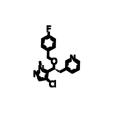 Cn1ncc(Cl)c1[C@@H](Cc1cccnc1)OCc1ccc(F)cc1